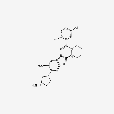 Cc1cn2nc([C@@H]3CCCCN3C(=O)c3nc(Cl)ccc3Cl)cc2nc1N1CC[C@H](N)C1